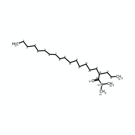 CCCCCCCCCCCCCCCCC(CCC)C(=O)N(C)C